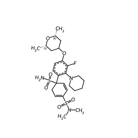 C[C@@H]1CC(Oc2ccc(C3(S(N)(=O)=O)C=CC(S(=O)(=O)N(C)C)=CC3)c(N3CCCCC3)c2F)C[C@H](C)O1